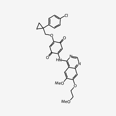 COCCOc1cc2ncnc(NC3=CC(=O)C(OCC4(c5ccc(Cl)cc5)CC4)=CC3=O)c2cc1OC